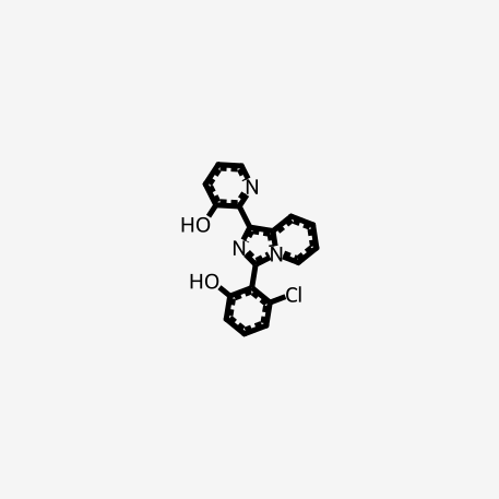 Oc1cccnc1-c1nc(-c2c(O)cccc2Cl)n2ccccc12